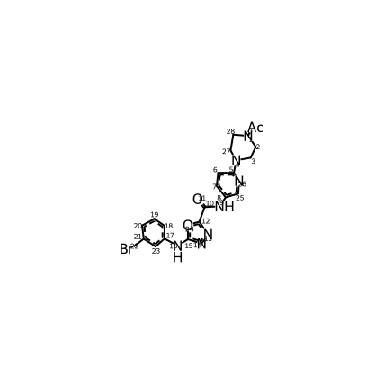 CC(=O)N1CCN(c2ccc(NC(=O)c3nnc(Nc4cccc(Br)c4)o3)cn2)CC1